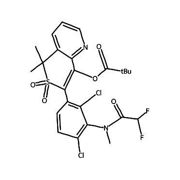 CN(C(=O)C(F)F)c1c(Cl)ccc(C2=C(OC(=O)C(C)(C)C)c3ncccc3C(C)(C)S2(=O)=O)c1Cl